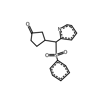 O=C1CCC(C(c2ccccn2)S(=O)(=O)c2ccccc2)C1